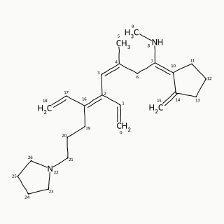 C=CC(/C=C(/C)C/C(NC)=C1/CCCC1=C)=C(/C=C)CCCN1CCCC1